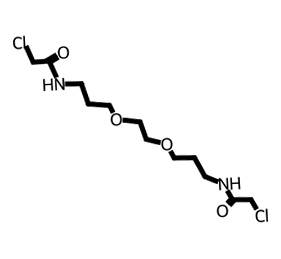 O=C(CCl)NCCCOCCOCCCNC(=O)CCl